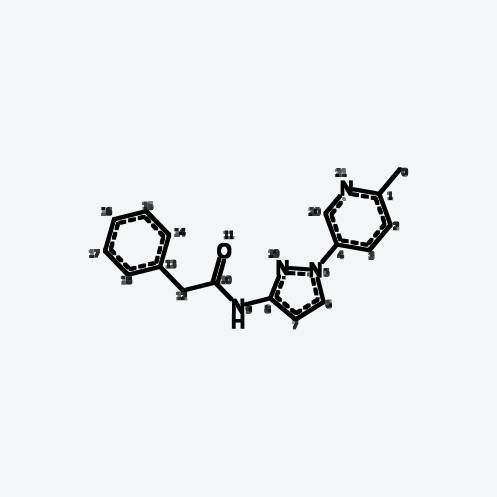 Cc1ccc(-n2ccc(NC(=O)Cc3ccccc3)n2)cn1